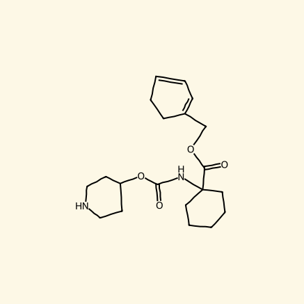 O=C(NC1(C(=O)OCC2=CC=CCC2)CCCCC1)OC1CCNCC1